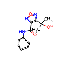 CC(C)(O)c1nonc1C(=O)Nc1ccccc1